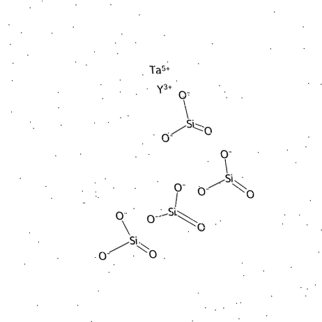 O=[Si]([O-])[O-].O=[Si]([O-])[O-].O=[Si]([O-])[O-].O=[Si]([O-])[O-].[Ta+5].[Y+3]